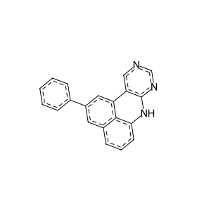 c1ccc(-c2cc3c4c(cccc4c2)Nc2ncncc2-3)cc1